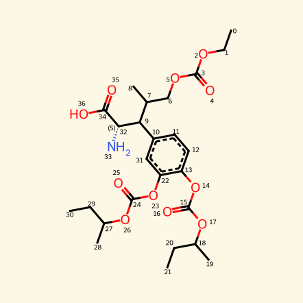 CCOC(=O)OCC(C)C(c1ccc(OC(=O)OC(C)CC)c(OC(=O)OC(C)CC)c1)[C@H](N)C(=O)O